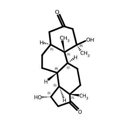 C[C@]12[C@@H](CC[C@H]3[C@@H]4[C@@H](O)CC(=O)[C@@]4(C)CC[C@@H]31)CC(=O)C[C@@]2(C)O